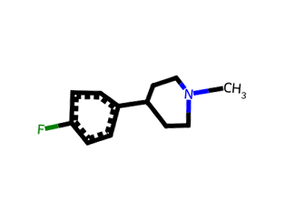 CN1CC[C](c2ccc(F)cc2)CC1